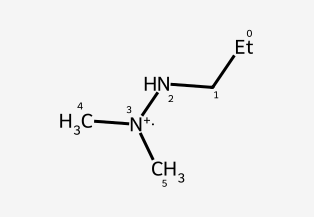 CCCN[N+](C)C